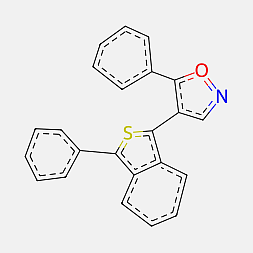 c1ccc(-c2oncc2-c2sc(-c3ccccc3)c3ccccc23)cc1